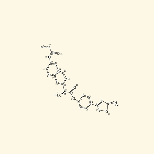 C=C1C=C(c2ccc(OC(=O)[C@@H](C)c3ccc4cc(OC(=O)CCCCC)ccc4c3)cc2)SS1